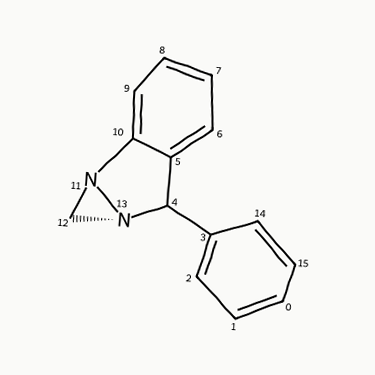 c1ccc(C2c3ccccc3N3C[N@@]23)cc1